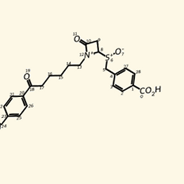 O=C(O)c1ccc(C[S+]([O-])C2CC(=O)[N+]2CCCCCC(=O)c2ccc(Cl)cc2)cc1